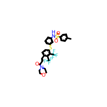 Cc1ccc(S(=O)(=O)Nc2cccc(Sc3ccc(/C=C/C(=O)N4CCOCC4)c(C(F)(F)F)c3C(F)(F)F)c2)cc1